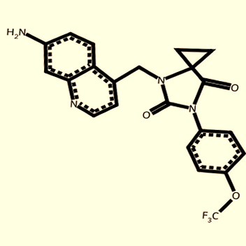 Nc1ccc2c(CN3C(=O)N(c4ccc(OC(F)(F)F)cc4)C(=O)C34CC4)ccnc2c1